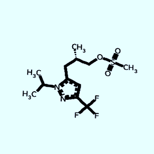 CC(C)n1nc(C(F)(F)F)cc1C[C@H](C)COS(C)(=O)=O